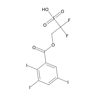 O=C(OCC(F)(F)S(=O)(=O)O)c1cc(I)cc(I)c1I